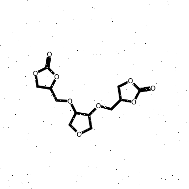 O=C1OCC(COC2COCC2OCC2COC(=O)O2)O1